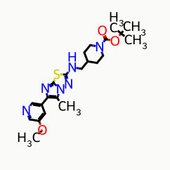 COc1cncc(-c2nc3sc(NCC4CCN(C(=O)OC(C)(C)C)CC4)nn3c2C)c1